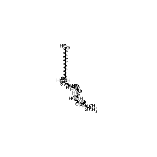 CC(C)C(=O)CNC(=O)CNC(=O)C(CO)NC(=O)CNC(=O)C(CO)NC(=O)CNC(=O)CC[C@H](NC(=O)CCCCCCCCCCCCCCCCC(=O)O)C(=O)O